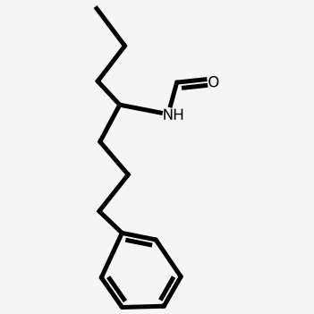 CCCC(CCCc1ccccc1)NC=O